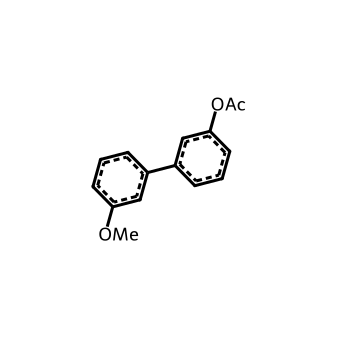 COc1cccc(-c2cccc(OC(C)=O)c2)c1